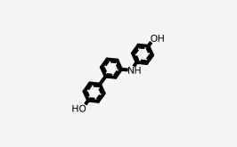 Oc1ccc(Nc2cccc(-c3ccc(O)cc3)c2)cc1